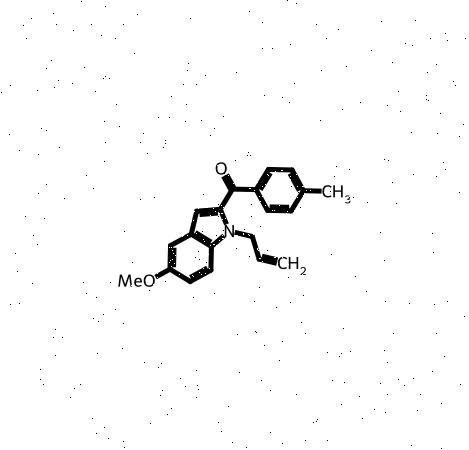 C=CCn1c(C(=O)c2ccc(C)cc2)cc2cc(OC)ccc21